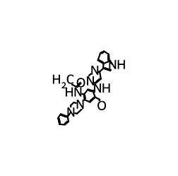 C=CC(=O)Nc1cc(Nc2cc(-c3c[nH]c4ccccc34)ncn2)c(C=O)cc1N1CCN(c2ccccc2)CC1